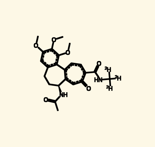 [2H]C([2H])([2H])NC(=O)c1ccc2c(cc1=O)[C@@H](NC(C)=O)CCc1cc(OC)c(OC)c(OC)c1-2